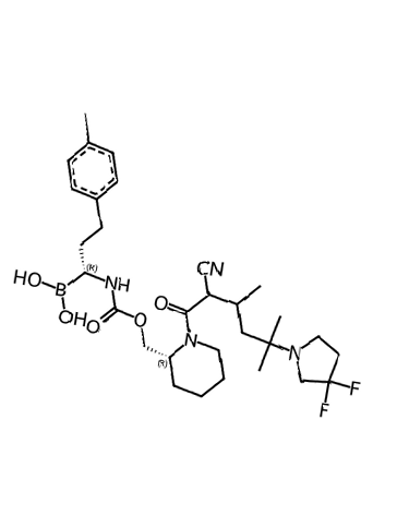 Cc1ccc(CC[C@H](NC(=O)OC[C@H]2CCCCN2C(=O)C(C#N)C(C)CC(C)(C)N2CCC(F)(F)C2)B(O)O)cc1